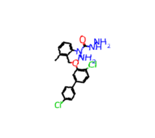 Cc1cccc(N(N)C(=O)NN)c1COc1cc(-c2ccc(Cl)cc2)ccc1Cl